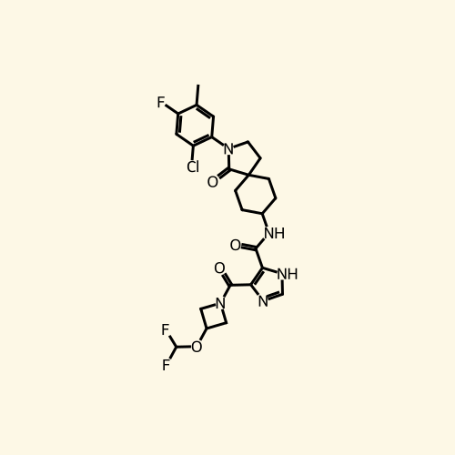 Cc1cc(N2CCC3(CCC(NC(=O)c4[nH]cnc4C(=O)N4CC(OC(F)F)C4)CC3)C2=O)c(Cl)cc1F